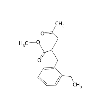 CCc1ccccc1CC(CC(C)=O)C(=O)OC